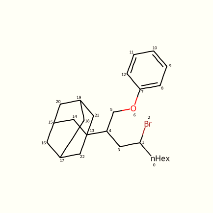 CCCCCCC(Br)CC(COc1ccccc1)C12CC3CC(CC(C3)C1)C2